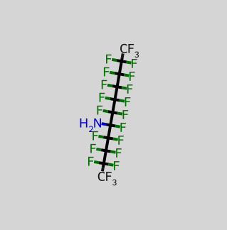 NC(F)(C(F)(F)C(F)(F)C(F)(F)C(F)(F)F)C(F)(F)C(F)(F)C(F)(F)C(F)(F)C(F)(F)C(F)(F)F